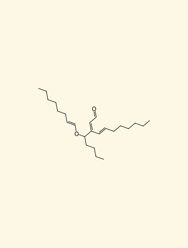 CCCCCCC=COC(CCCC)C(C=CCCCCCC)=CC=O